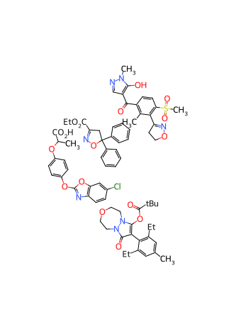 CC(Oc1ccc(Oc2nc3ccc(Cl)cc3o2)cc1)C(=O)O.CCOC(=O)C1=NOC(c2ccccc2)(c2ccccc2)C1.CCc1cc(C)cc(CC)c1-c1c(OC(=O)C(C)(C)C)n2n(c1=O)CCOCC2.Cc1c(C(=O)c2cnn(C)c2O)ccc(S(C)(=O)=O)c1C1=NOCC1